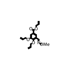 C=CCOC(=O)c1cc(/C=N/OC)c(OCC=C)c(OCC=C)c1